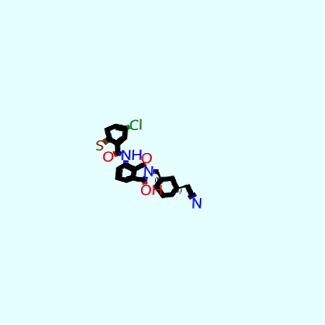 N#CC[C@H]1CCC[C@@H](CN2C(=O)c3c(NC(=O)C4=CC(Cl)=CCC4=S)cccc3C2O)C1